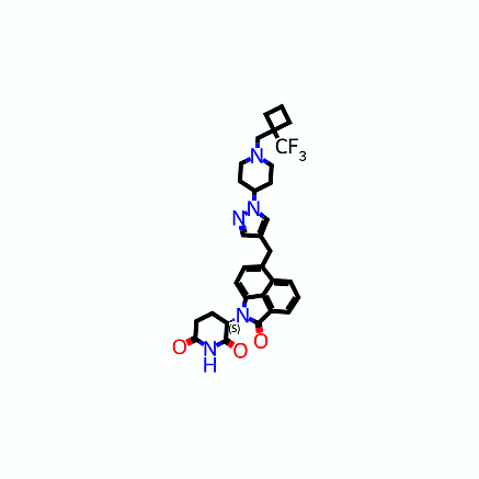 O=C1CC[C@H](N2C(=O)c3cccc4c(Cc5cnn(C6CCN(CC7(C(F)(F)F)CCC7)CC6)c5)ccc2c34)C(=O)N1